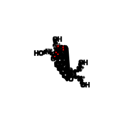 C[N+](C)(CCO)CCOC(=O)C1(C(=O)OCC[N+](C)(C)CCO)C23CCc4cc5cc6c7c8c9c%10c%11c%12c%13c(cc%14ccc2c2c%15c%16c%17c(c4C%1613)c5c7c9c%17c%11c%15c%13c%142)C=C1CC2CC8(C=C6)C23C(C(=O)OCC[N+](C)(C)CCO)(C(=O)OCC[N+](C)(C)CCO)C%103C1%12